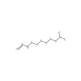 CC(C)CCCCCCOC=O